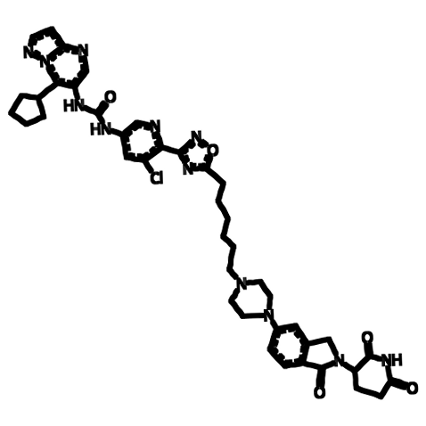 O=C1CCC(N2Cc3cc(N4CCN(CCCCCCc5nc(-c6ncc(NC(=O)Nc7cnc8ccnn8c7C7CCCC7)cc6Cl)no5)CC4)ccc3C2=O)C(=O)N1